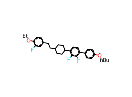 CCCCOc1ccc(-c2ccc(C3CCC(CCc4ccc(OCC)c(F)c4)CC3)c(F)c2F)cc1